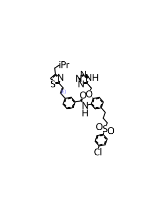 CC(C)Cc1csc(/C=C/c2cccc(C(=O)Nc3cc(CCCS(=O)(=O)c4ccc(Cl)cc4)ccc3OCc3nnn[nH]3)c2)n1